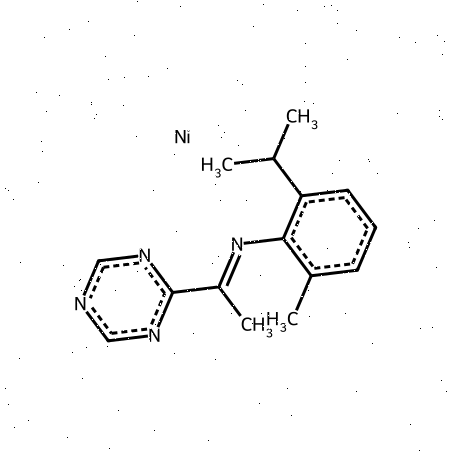 CC(=Nc1c(C)cccc1C(C)C)c1ncncn1.[Ni]